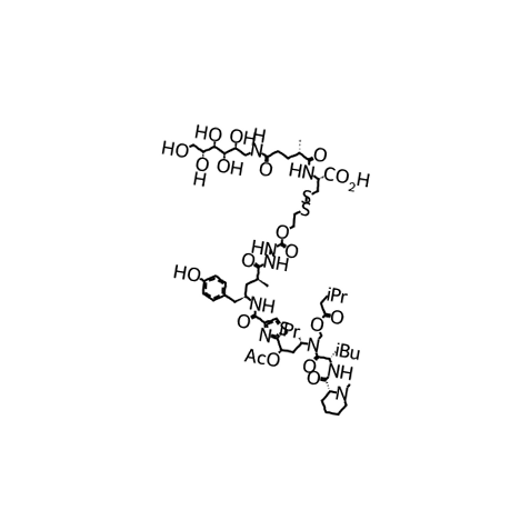 CCC(C)[C@H](NC(=O)[C@H]1CCCCN1C)C(=O)N(COC(=O)CC(C)C)[C@H](C[C@@H](OC(C)=O)c1nc(C(=O)N[C@@H](Cc2ccc(O)cc2)C[C@H](C)C(=O)NNC(=O)OCCSSC[C@H](NC(=O)[C@@H](C)CCC(=O)NC[C@H](O)[C@@H](O)[C@H](O)[C@H](O)CO)C(=O)O)cs1)C(C)C